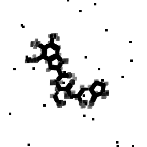 COc1c(C(F)(F)F)c(C(F)(F)F)cc2[nH]c(C(=O)N[C@@H](CC(C)(C)C)C(=O)N[C@H](C#N)C[C@@H]3CCNC3=O)cc12